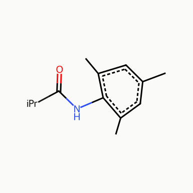 Cc1cc(C)c(NC(=O)C(C)C)c(C)c1